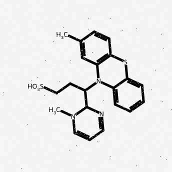 Cc1ccc2c(c1)N(C(CCS(=O)(=O)O)C1N=CC=CN1C)c1ccccc1S2